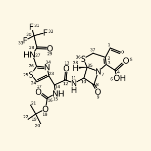 C=CC1=C(C(=O)O)N2C(=O)C(NC(=O)C(NC(=O)OC(C)(C)C)c3csc(NC(=O)C(F)(F)F)n3)[C@@H]2SC1